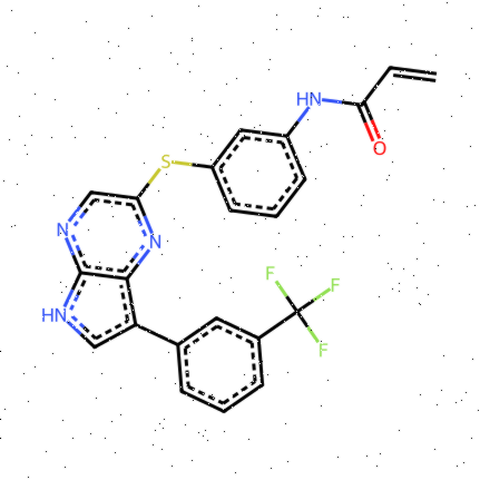 C=CC(=O)Nc1cccc(Sc2cnc3[nH]cc(-c4cccc(C(F)(F)F)c4)c3n2)c1